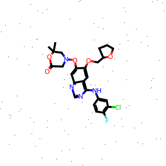 CC1(C)CN(Oc2cc3ncnc(Nc4ccc(F)c(Cl)c4)c3cc2OCC2CCCO2)CC(=O)O1